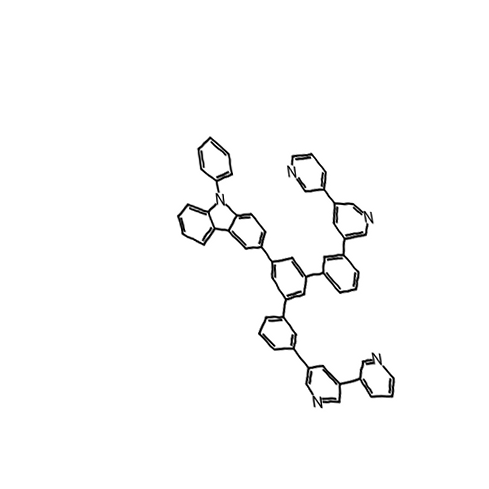 c1ccc(-n2c3ccccc3c3cc(-c4cc(-c5cccc(-c6cncc(-c7cccnc7)c6)c5)cc(-c5cccc(-c6cncc(-c7cccnc7)c6)c5)c4)ccc32)cc1